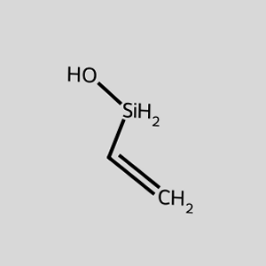 C=C[SiH2]O